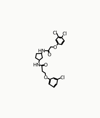 O=C(CCOc1cccc(Cl)c1)NC1CCC(NC(=O)COc2ccc(Cl)c(Cl)c2)C1